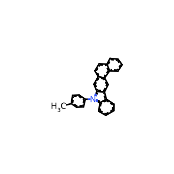 Cc1ccc(-n2c3ccccc3c3cc4c(ccc5ccccc54)cc32)cc1